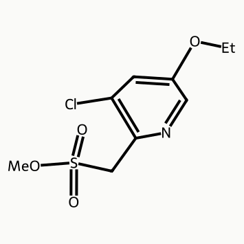 CCOc1cnc(CS(=O)(=O)OC)c(Cl)c1